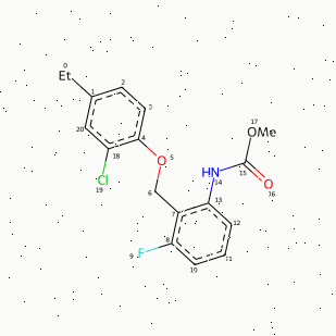 CCc1ccc(OCc2c(F)cccc2NC(=O)OC)c(Cl)c1